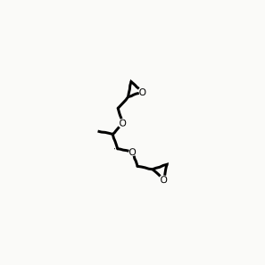 CC([CH]OCC1CO1)OCC1CO1